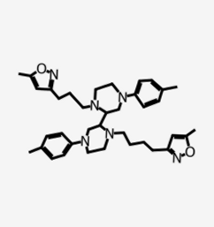 Cc1ccc(N2CCN(CCCCc3cc(C)on3)C(C3CN(c4ccc(C)cc4)CCN3CCCc3cc(C)on3)C2)cc1